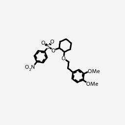 COc1ccc(CCOC2CCCCC2OS(=O)(=O)c2ccc([N+](=O)[O-])cc2)cc1OC